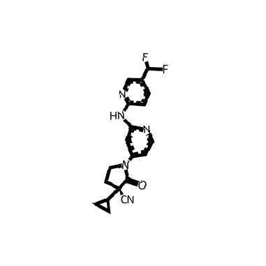 N#C[C@@]1(C2CC2)CCN(c2ccnc(Nc3ccc(C(F)F)cn3)c2)C1=O